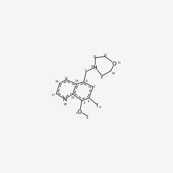 COc1c(I)cc(CN2CCOCC2)c2cccnc12